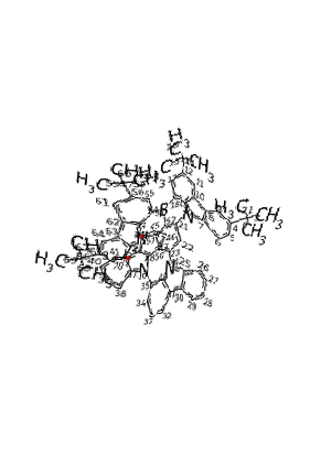 CC(C)(C)c1ccc2c(c1)c1cc(C(C)(C)C)cc3c1n2-c1cc(-n2c4ccccc4c4cccc(-n5c6ccccc6c6ccccc65)c42)cc2c1B3c1cc(C(C)(C)C)cc3c4cc(C(C)(C)C)ccc4n-2c13